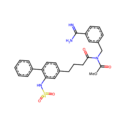 COC(=O)N(Cc1cccc(C(=N)N)c1)C(=O)CCCc1ccc(-c2ccccc2)c(N[SH](=O)=O)c1